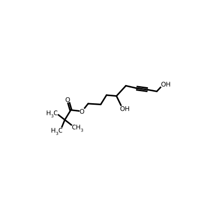 CC(C)(C)C(=O)OCCCC(O)CC#CCO